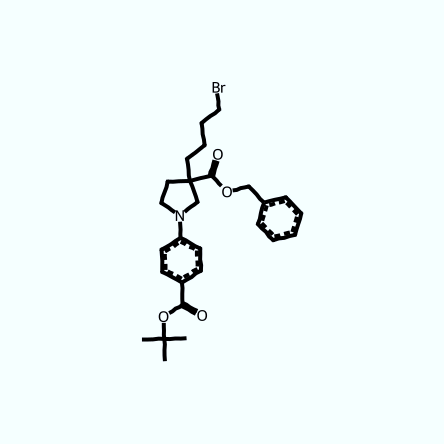 CC(C)(C)OC(=O)c1ccc(N2CCC(CCCCBr)(C(=O)OCc3ccccc3)C2)cc1